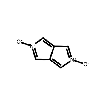 [O-][N+]1=CC2=C[N+]([O-])=CC2=C1